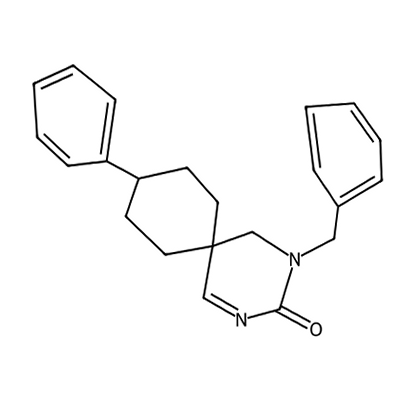 O=C1N=CC2(CCC(c3ccccc3)CC2)CN1Cc1ccccc1